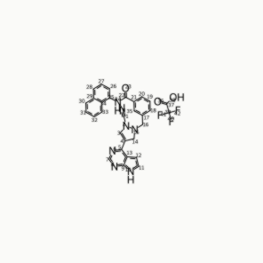 N#CN1C=C(c2ncnc3[nH]ccc23)CN1Cc1cccc(C(=O)Nc2cccc3ccccc23)c1.O=C(O)C(F)(F)F